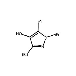 CC(C)c1c(O)c(C(C)(C)C)nn1C(C)C